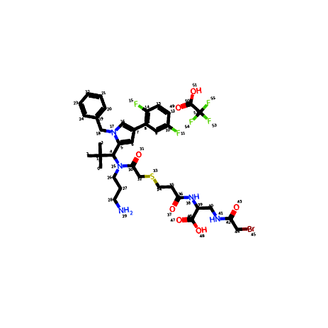 CC(C)(C)C(c1cc(-c2cc(F)ccc2F)cn1Cc1ccccc1)N(CCCN)C(=O)CSCCC(=O)NC(CNC(=O)CBr)C(=O)O.O=C(O)C(F)(F)F